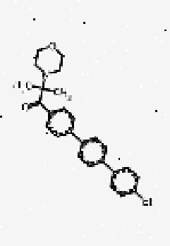 CCc1ccc(-c2ccc(-c3ccc(C(=O)C(C)(C)N4CCOCC4)cc3)cc2)cc1